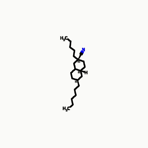 CCCCCC[C@H]1CCC2C[C@](C#N)(CCCCC)CC[C@@H]2C1